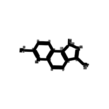 CC(C)c1ccc2c(ccc3c(C(C)C)n[nH]c32)n1